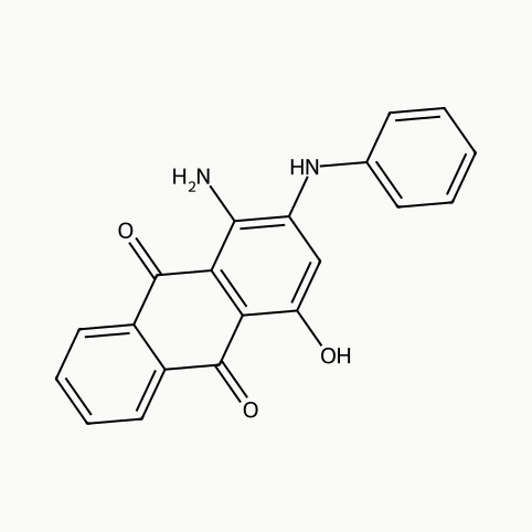 Nc1c(Nc2ccccc2)cc(O)c2c1C(=O)c1ccccc1C2=O